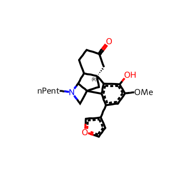 CCCCCN1CC23C[C@]4(CC(=O)CCC4C12)c1c(O)c(OC)cc(-c2ccoc2)c13